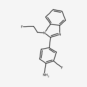 Nc1ccc(-c2nc3ccccc3n2CCF)cc1F